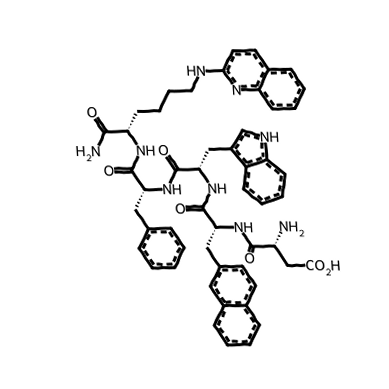 NC(=O)[C@H](CCCCNc1ccc2ccccc2n1)NC(=O)[C@@H](Cc1ccccc1)NC(=O)[C@H](Cc1c[nH]c2ccccc12)NC(=O)[C@@H](Cc1ccc2ccccc2c1)NC(=O)[C@H](N)CC(=O)O